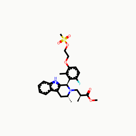 COC(=O)[C@@H](C)CN1[C@H](c2c(F)ccc(OCCOS(C)(=O)=O)c2C)c2[nH]c3ccccc3c2C[C@H]1C